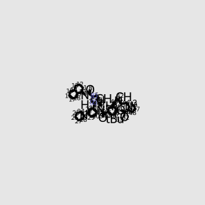 C=N/C(=C\C(=C/C)C(=O)NC1CCCc2ccccc21)c1cc(N2CCCCC2)ccc1NC(=O)c1cccc(CN(C)CCN2CCC[C@H]2C(=O)OC(C)(C)C)c1